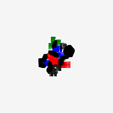 CCc1cccc(C[C@H](NC(=O)C(COCC2CCCN2C(=O)C(C#N)=CC(C)C)NC(F)C(F)F)B(O)O)c1